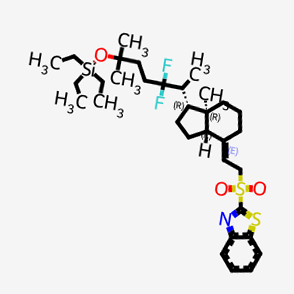 CC[Si](CC)(CC)OC(C)(C)CCC(F)(F)C(C)[C@H]1CC[C@H]2/C(=C/CS(=O)(=O)c3nc4ccccc4s3)CCC[C@]12C